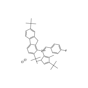 CC1=[C]([Zr+2](=[CH]c2ccc(F)cc2)[c]2c(C(C)(C)C)ccc3c2Cc2cc(C(C)(C)C)ccc2-3)C(C)C=C1C(C)(C)C.[Cl-].[Cl-]